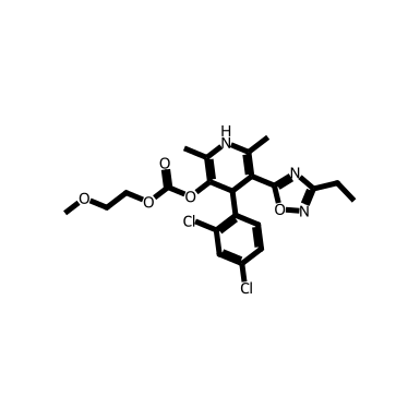 CCc1noc(C2=C(C)NC(C)=C(OC(=O)OCCOC)C2c2ccc(Cl)cc2Cl)n1